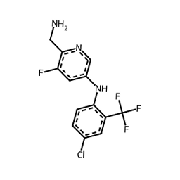 NCc1ncc(Nc2ccc(Cl)cc2C(F)(F)F)cc1F